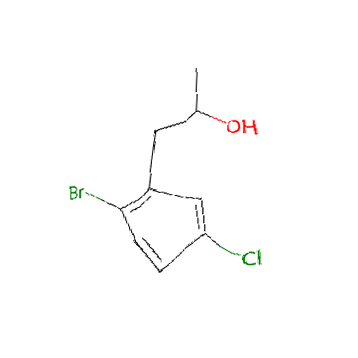 CC(O)Cc1cc(Cl)ccc1Br